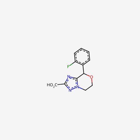 O=C(O)c1nc2n(n1)CCOC2c1ccccc1F